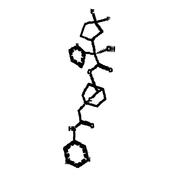 O=C(C[N+]12CCC(CC1)C(OC(=O)[C@@](O)(c1cccs1)C1CCC(F)(F)C1)C2)Nc1cncnc1